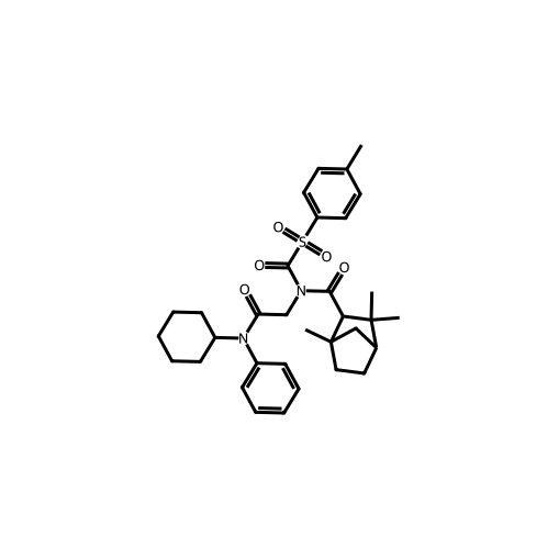 Cc1ccc(S(=O)(=O)C(=O)N(CC(=O)N(c2ccccc2)C2CCCCC2)C(=O)C2C3(C)CCC(C3)C2(C)C)cc1